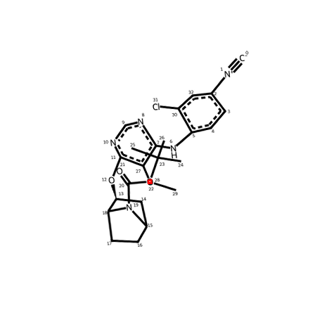 [C-]#[N+]c1ccc(Nc2ncnc(O[C@H]3CC4CCC3N4C(=O)OC(C)(C)C)c2OC)c(Cl)c1